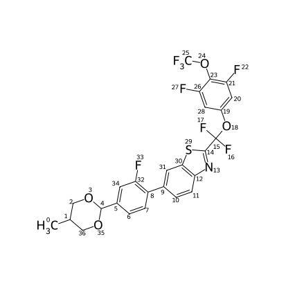 CC1COC(c2ccc(-c3ccc4nc(C(F)(F)Oc5cc(F)c(OC(F)(F)F)c(F)c5)sc4c3)c(F)c2)OC1